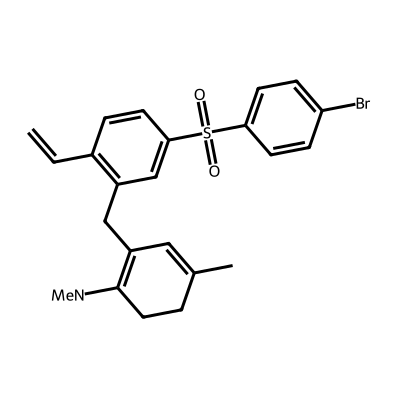 C=Cc1ccc(S(=O)(=O)c2ccc(Br)cc2)cc1CC1=C(NC)CCC(C)=C1